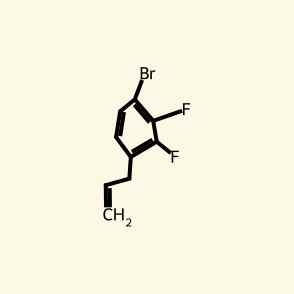 C=CCc1ccc(Br)c(F)c1F